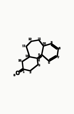 O=C1CCC2=C3C=CC=CC3CCCC2C1